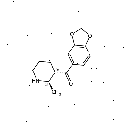 C[C@H]1NCCC[C@@H]1C(=O)c1ccc2c(c1)OCO2